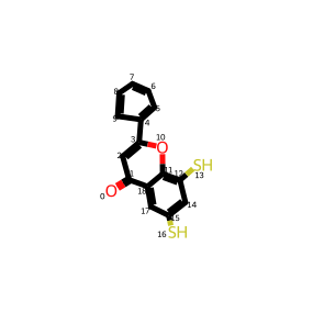 O=c1cc(-c2ccccc2)oc2c(S)cc(S)cc12